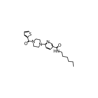 CCCCCCNC(=O)c1ccc(N2CCN(C(=O)c3cccs3)CC2)nc1